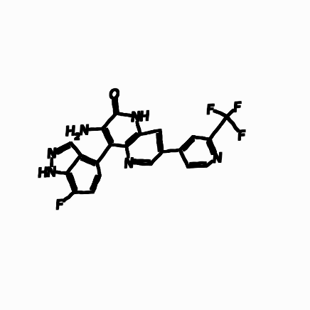 Nc1c(-c2ccc(F)c3[nH]ncc23)c2ncc(-c3ccnc(C(F)(F)F)c3)cc2[nH]c1=O